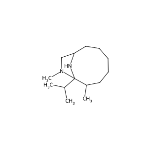 CC(C)C12NC(CCCCCC1C)CN2C